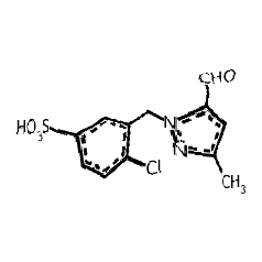 Cc1cc(C=O)n(Cc2cc(S(=O)(=O)O)ccc2Cl)n1